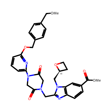 COCc1ccc(COc2cccc(N3CC(=O)N(Cc4nc5ccc(C(=O)OC)cc5n4C[C@@H]4CCO4)CC3=O)n2)cc1